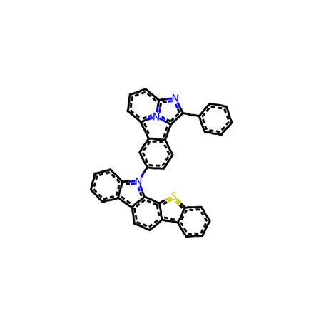 c1ccc(-c2nc3cccc4c5cc(-n6c7ccccc7c7ccc8c9ccccc9sc8c76)ccc5c2n34)cc1